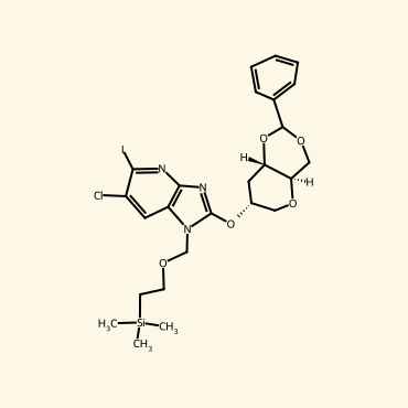 C[Si](C)(C)CCOCn1c(O[C@H]2CO[C@@H]3COC(c4ccccc4)O[C@H]3C2)nc2nc(I)c(Cl)cc21